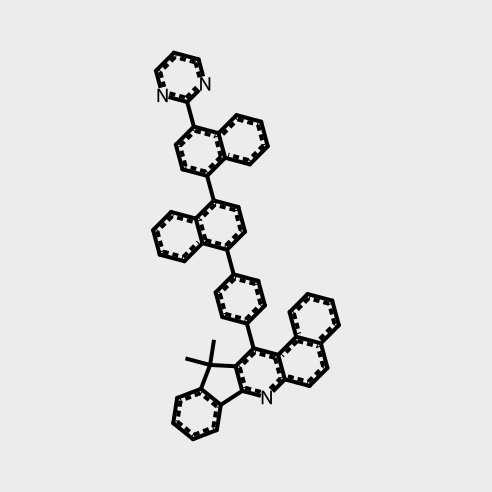 CC1(C)c2ccccc2-c2nc3ccc4ccccc4c3c(-c3ccc(-c4ccc(-c5ccc(-c6ncccn6)c6ccccc56)c5ccccc45)cc3)c21